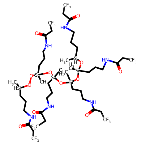 C[SiH](CCCNC(=O)CC(F)(F)F)OO[Si](C)(CCCNC(=O)CC(F)(F)F)O[Si](C)(CCCNC(=O)CC(F)(F)F)O[Si](C)(CCCNC(=O)CC(F)(F)F)O[Si](C)(CCCNC(=O)CC(F)(F)F)O[SiH](C)CCCNC(=O)CC(F)(F)F